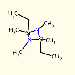 CC[Si]1(C)N(C)[Si](C)(CC)N1C